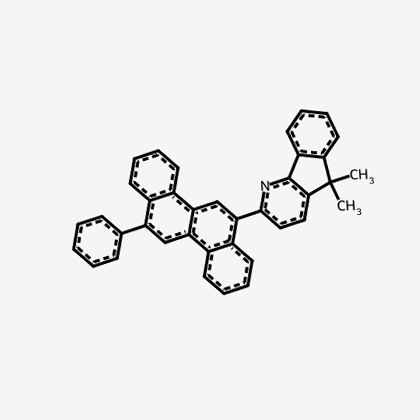 CC1(C)c2ccccc2-c2nc(-c3cc4c5ccccc5c(-c5ccccc5)cc4c4ccccc34)ccc21